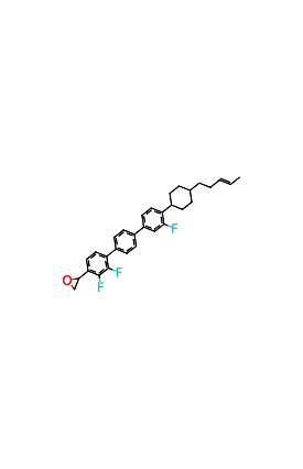 C/C=C/CCC1CCC(c2ccc(-c3ccc(-c4ccc(C5CO5)c(F)c4F)cc3)cc2F)CC1